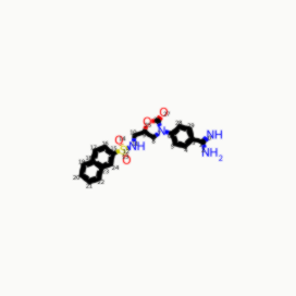 N=C(N)c1ccc(N2CC(CNS(=O)(=O)c3ccc4ccccc4c3)OC2=O)cc1